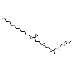 CCCCCCCCCCCCOC(=O)CCCOCCOC(C)COCCOCC